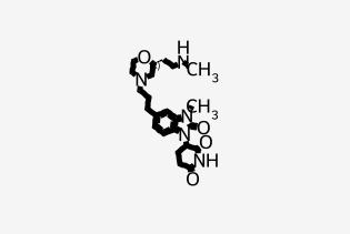 CNCC[C@@H]1CN(CCCc2ccc3c(c2)n(C)c(=O)n3C2CCC(=O)NC2=O)CCO1